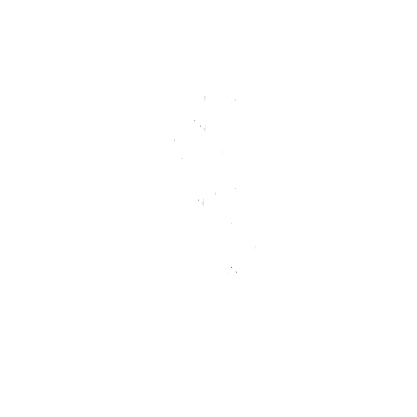 COCCN1CCC(Nc2cccc3c2cc(I)n3CC(F)(F)F)CC1